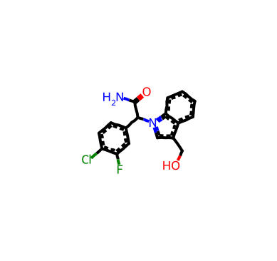 NC(=O)C(c1ccc(Cl)c(F)c1)n1cc(CO)c2ccccc21